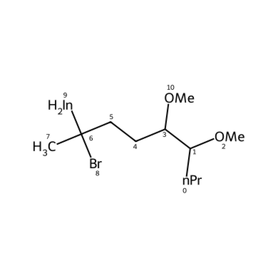 CCCC(OC)C(CC[C](C)(Br)[InH2])OC